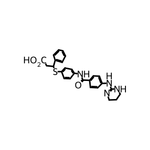 O=C(O)CC(Sc1ccc(NC(=O)c2ccc(NC3=NCCCN3)cc2)cc1)c1ccccc1